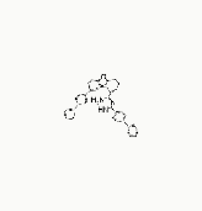 N=C(/N=C(\N)C1=CCCc2oc3ccc(-c4ccc(C5=CC=CCC5)cc4)cc3c21)c1ccc(-c2ccccc2)cc1